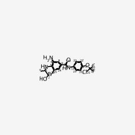 CC(CO)Nc1c(N)cc(C(=O)Nc2ccc(OC(F)(F)Cl)cc2)cc1Br